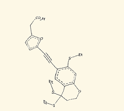 CCSc1cc2c(cc1C#Cc1ccc(CC(=O)O)o1)C(SCC)(SCC)CCO2